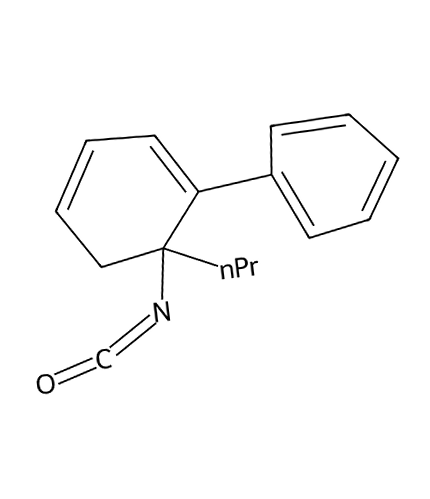 CCCC1(N=C=O)CC=CC=C1c1ccccc1